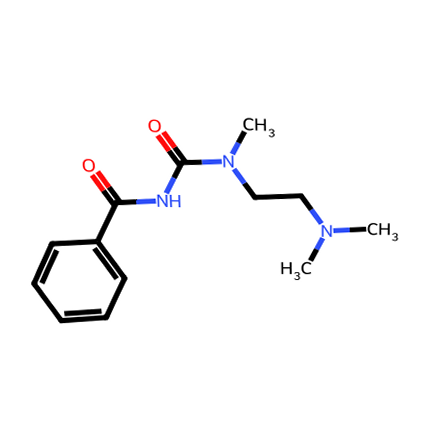 CN(C)CCN(C)C(=O)NC(=O)c1ccccc1